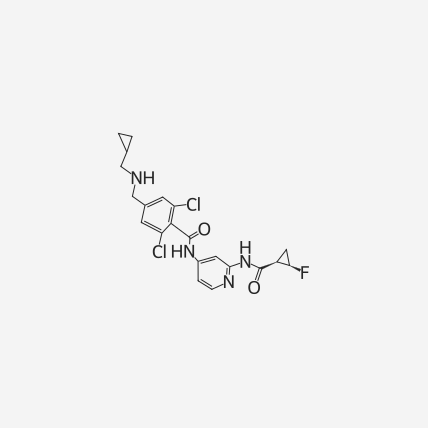 O=C(Nc1ccnc(NC(=O)[C@H]2C[C@H]2F)c1)c1c(Cl)cc(CNCC2CC2)cc1Cl